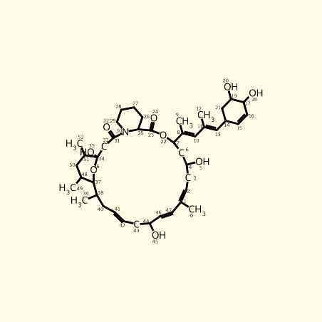 CC1=C/CC(O)CC(/C(C)=C/C(C)=C/C2C=CC(O)C(O)C2)OC(=O)C2CCCCN2C(=O)CC2(O)OC(C(C)C/C=C/CC(O)\C=C\1)C(C)CC2C